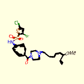 C=CC(/C=C\C=C/CN1CCN(C(=O)c2ccc(NS(=O)(=O)c3sc(Cl)cc3Br)cc2)CC1)OC